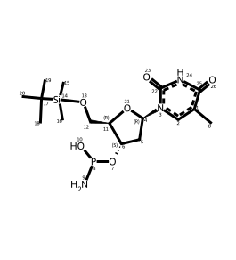 Cc1cn([C@H]2C[C@H](OP(N)O)[C@@H](CO[Si](C)(C)C(C)(C)C)O2)c(=O)[nH]c1=O